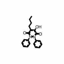 CCCCc1c(O)c(=O)n(-c2ccccc2)n(-c2ccccc2)c1=O